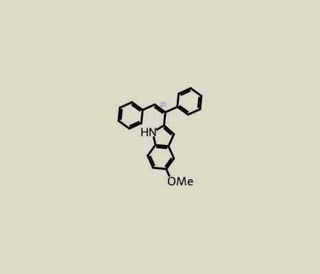 COc1ccc2[nH]c(/C(=C\c3ccccc3)c3ccccc3)cc2c1